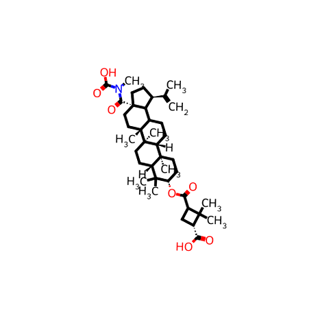 C=C(C)[C@@H]1CC[C@]2(C(=O)N(C)C(=O)O)CC[C@]3(C)C(CC[C@@H]4[C@@]5(C)CC[C@H](OC(=O)C6C[C@@H](C(=O)O)C6(C)C)C(C)(C)[C@@H]5CC[C@]43C)C12